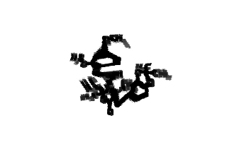 COc1ccc(CNN2C(C)(C)OC(=O)[C@]2(C)Cc2ccc3c(c2)OC(C)(C)O3)c(OC)c1